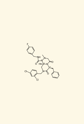 CN1CC(=O)N2[C@@H](Cc3ccccc3)C(=O)N(Cc3ccc(Cl)cc3Cl)C[C@@H]2N1C(=O)NCc1ccc(F)cc1